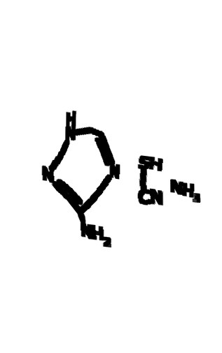 N.N#CS.Nc1nc[nH]n1